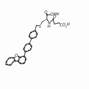 COC(=O)[C@H](CSCc1ccc(-c2ccc(-c3cccc4c3oc3ccccc34)cc2)cc1)NC(=O)CCC(=O)O